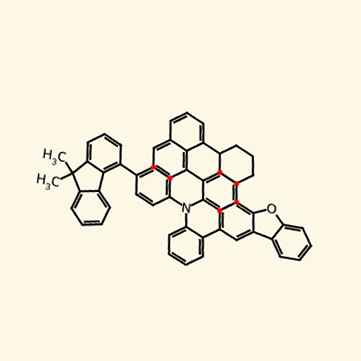 CC1(C)c2ccccc2-c2c(-c3ccc(N(c4ccccc4-c4ccc5oc6ccccc6c5c4)c4ccccc4-c4cccc5cccc(C6CCCCC6)c45)cc3)cccc21